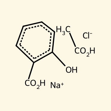 CC(=O)O.O=C(O)c1ccccc1O.[Cl-].[Na+]